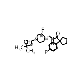 CC(C)(C)CCN1CC[C@@H](CNC(=O)C2(c3ccc(F)cc3)CCCC2)[C@@H](F)C1